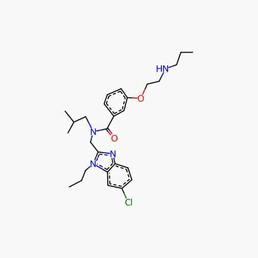 CCCNCCOc1cccc(C(=O)N(Cc2nc3ccc(Cl)cc3n2CCC)CC(C)C)c1